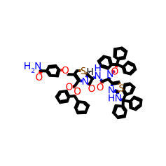 NC(=O)c1ccc(OCC2=C(C(=O)OC(c3ccccc3)c3ccccc3)N3C(=O)C(NC(=O)C(=NOC(c4ccccc4)(c4ccccc4)c4ccccc4)c4csc(NC(c5ccccc5)(c5ccccc5)c5ccccc5)n4)[C@@H]3SC2)cc1